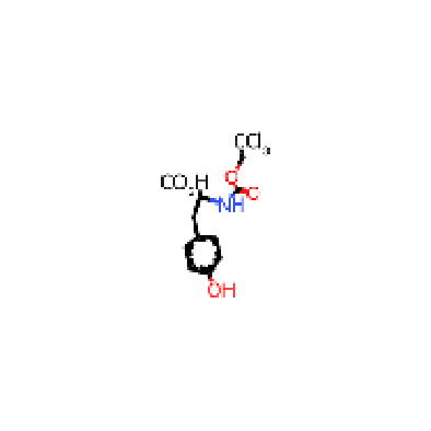 O=C(NC(Cc1ccc(O)cc1)C(=O)O)OCC(Cl)(Cl)Cl